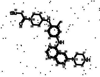 Cc1cc(Nc2ncnc3cnc(N4CCNCC4)cc23)ccc1OC1CCN(C(=O)CC(C)(C)C)CC1